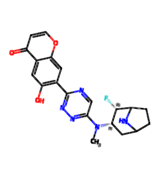 CN(c1cnc(-c2cc3occc(=O)c3cc2O)nn1)[C@H]1CC2CCC(N2)[C@H]1F